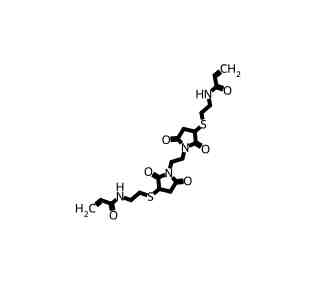 C=CC(=O)NCCSC1CC(=O)N(CCN2C(=O)CC(SCCNC(=O)C=C)C2=O)C1=O